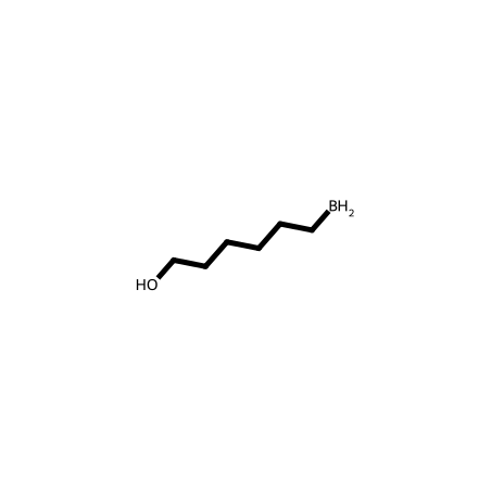 BCCCCCCO